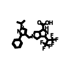 CC(C)n1cc(CN2CC3C(C(=O)O)NC(C(C(F)(F)F)C(F)(F)F)C3C2)c(-c2ccccc2)n1